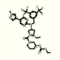 CCOC(=O)O[C@H]1CCCN(C(=O)N2C[C@@H](N(Cc3cc(C(F)(F)F)cc(C(F)(F)F)c3)c3ncc(-c4cnn(C)c4)cn3)C[C@H]2CC)C1